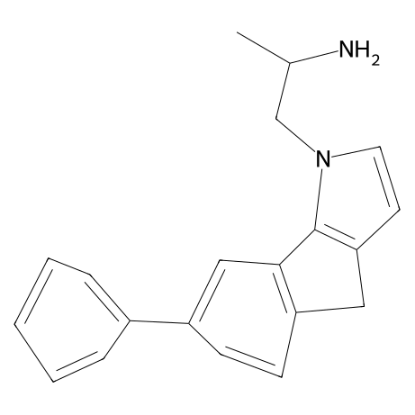 CC(N)Cn1ccc2c1-c1cc(-c3ccccc3)ccc1C2